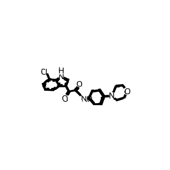 O=C(NC1=CC=C(N2CCOCC2)CC1)C(=O)c1c[nH]c2c(Cl)cccc12